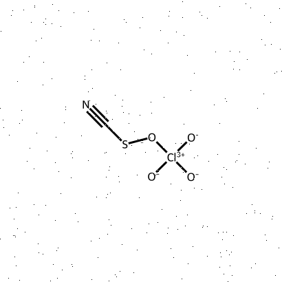 N#CSO[Cl+3]([O-])([O-])[O-]